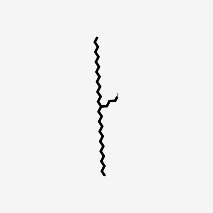 CCCCCCCCCCCCCCC(CCCI)CCCCCCCCCCCCCC